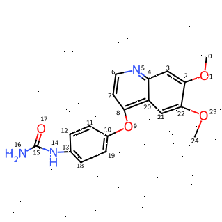 COc1cc2nccc(Oc3ccc(NC(N)=O)cc3)c2cc1OC